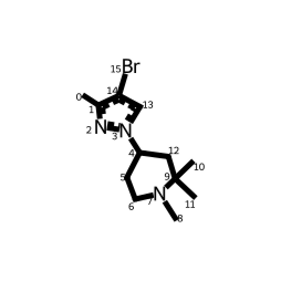 Cc1nn(C2CCN(C)C(C)(C)C2)cc1Br